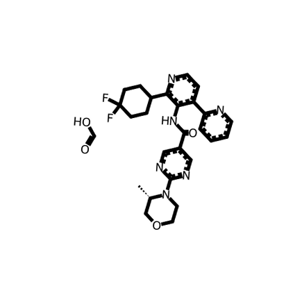 C[C@H]1COCCN1c1ncc(C(=O)Nc2c(-c3ccccn3)ccnc2C2CCC(F)(F)CC2)cn1.O=CO